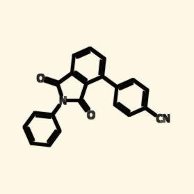 N#Cc1ccc(-c2cccc3c2C(=O)N(c2ccccc2)C3=O)cc1